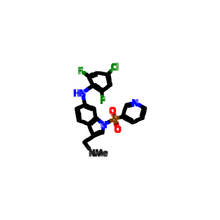 CNCc1cn(S(=O)(=O)c2cccnc2)c2cc(Nc3c(F)cc(Cl)cc3F)ccc12